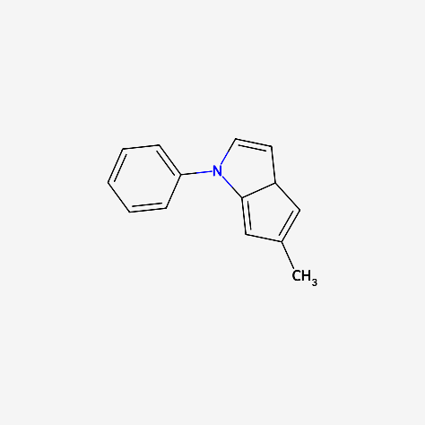 CC1=CC2C=CN(c3ccccc3)C2=C1